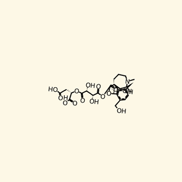 CN1CCC[C@]23c4c5ccc(CO)c4O[C@H]2C(OC(=O)[C@H](O)[C@@H](O)C(=O)O[C@@H](CC(=O)O)C(=O)O)=CC[C@@]3(O)[C@H]1C5